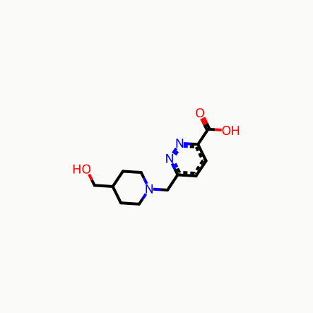 O=C(O)c1ccc(CN2CCC(CO)CC2)nn1